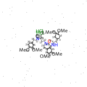 COc1ccc(CCNC2C(=O)N(CCCN(C)CCc3ccc(OC)c(OC)c3)CCc3cc(OC)c(OC)cc32)cc1OC.Cl.Cl